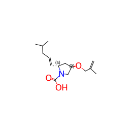 C=C(C)CO[C@@H]1C[C@@H](C=CCC(C)C)N(C(=O)O)C1